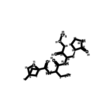 CC(C)CC(NC(=O)C12CC(C)(CO1)C2)C(=O)NC(C[C@@H]1CCNC1=O)C(=O)COC(F)(F)F